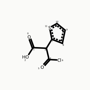 O=C(O)C(C(=O)Cl)c1cccs1